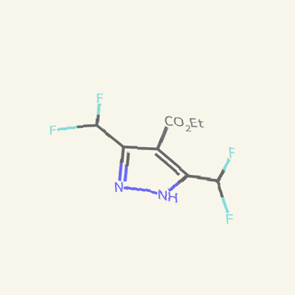 CCOC(=O)c1c(C(F)F)n[nH]c1C(F)F